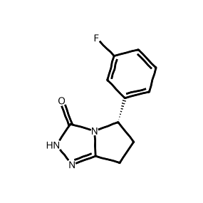 O=c1[nH]nc2n1[C@H](c1cccc(F)c1)CC2